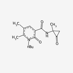 CCCCn1c(C)c(C)cc(C(=O)NC2(C)CC2=O)c1=O